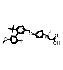 COc1ccc(F)c(-c2cc(COc3ccc([C@H](I)CC(=O)O)cc3)ccc2C(C)(C)C)c1